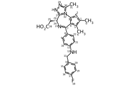 Cc1sc2c(c1C)C(c1ccc(NCc3ccc(F)cc3)cc1)=N[C@@H](CC(=O)O)c1nnc(C)n1-2